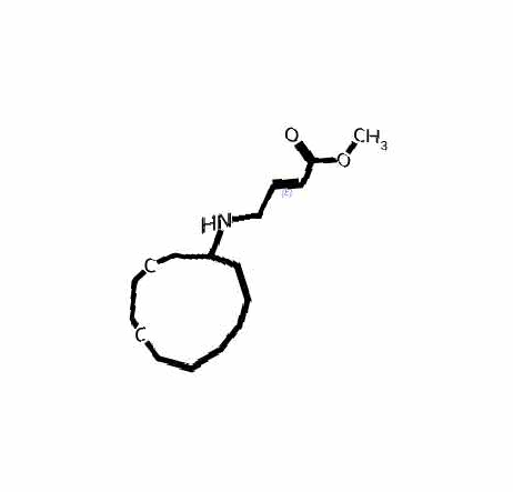 COC(=O)/C=C/CNC1CCCCCCCCCCC1